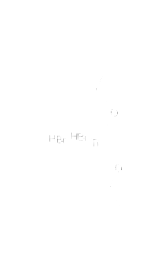 Br.Br.CC[O][Ti][O]CC